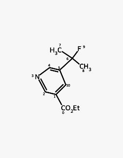 CCOC(=O)c1cncc(C(C)(C)F)c1